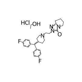 CCO.Cl.O=c1n(CCN2CCC(=C(c3ccc(F)cc3)c3ccc(F)cc3)CC2)nc2n1CCCC2